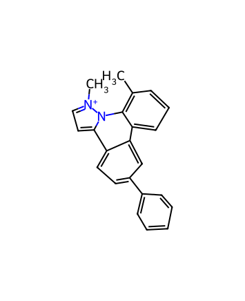 Cc1cccc2c3cc(-c4ccccc4)ccc3c3cc[n+](C)n3c12